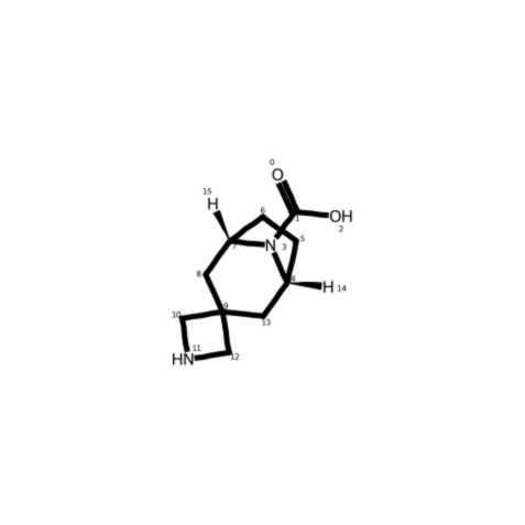 O=C(O)N1[C@@H]2CC[C@H]1CC1(CNC1)C2